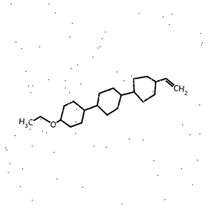 C=CC1CCC(C2CCC(C3CCC(OCC)CC3)CC2)CC1